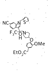 CCOC(=O)Cc1ccc(OC2CCN(CC(O)(c3cn(Cc4cccs4)c4cc(C#N)ccc34)C(F)(F)F)CC2)c(OC)c1